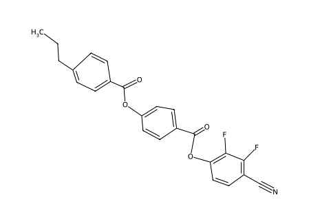 CCCc1ccc(C(=O)Oc2ccc(C(=O)Oc3ccc(C#N)c(F)c3F)cc2)cc1